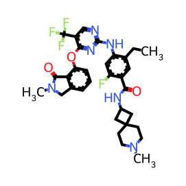 CCc1cc(C(=O)NC2CC3(CCN(C)CC3)C2)c(F)cc1Nc1ncc(C(F)(F)F)c(Oc2cccc3c2C(=O)N(C)C3)n1